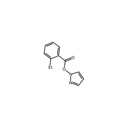 CCc1ccccc1C(=O)On1cccn1